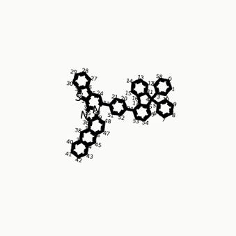 c1ccc(C2(c3ccccc3)c3ccccc3-c3c(-c4ccc(-c5cc6c7ccccc7sc6c6nc7c8cc9ccccc9cc8ccc7n56)cc4)cccc32)cc1